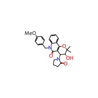 COc1ccc(Cn2c(=O)c3c(c4ccccc42)OC(C)(C)C(O)C3N2CCCC2=O)cc1